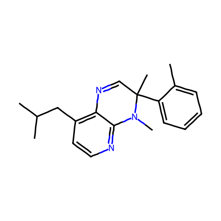 Cc1ccccc1C1(C)C=Nc2c(CC(C)C)ccnc2N1C